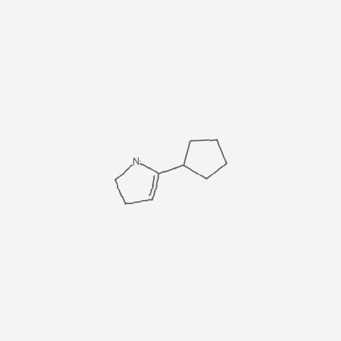 C1=C(C2CCCC2)[N]CC1